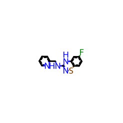 Fc1ccc2c(c1)NC(NCc1ccccn1)=NS2